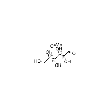 O=C[C@H](O)[C@@H](O)[C@H](O)[C@H](O)CO.[O]=[Mn]